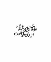 CC1CCC(C2=C(c3cc(C(C)(C)C)sc3C(=O)O)CCN(Cc3ccncc3)C2)CC1